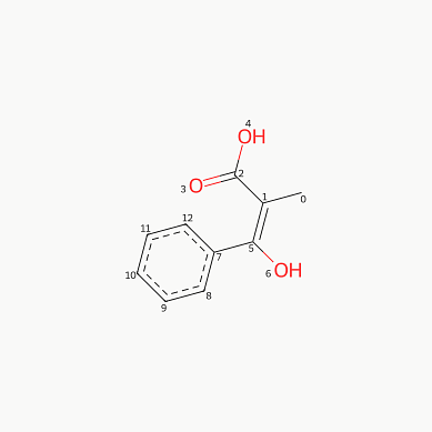 C/C(C(=O)O)=C(\O)c1ccccc1